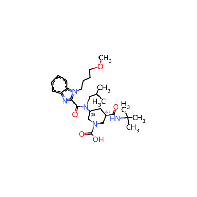 COCCCCn1c(C(=O)N(CC(C)C)[C@H]2C[C@@H](C(=O)NC(C)(C)C)CN(C(=O)O)C2)nc2ccccc21